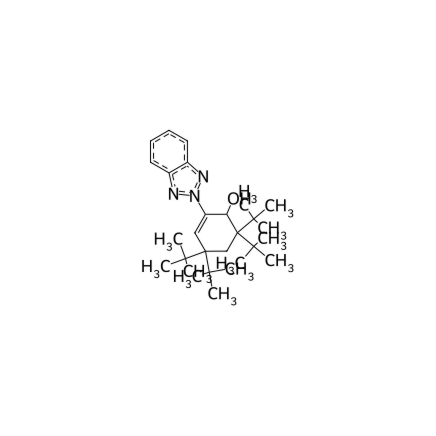 CC(C)(C)C1(C(C)(C)C)C=C(n2nc3ccccc3n2)C(O)C(C(C)(C)C)(C(C)(C)C)C1